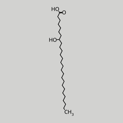 CCCCCCCCCCCCCCCCCCCC(O)CCCCCCC(=O)O